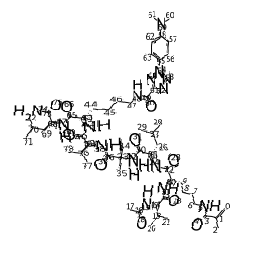 C=C(C)C(=O)NCCCC[C@H](NC(=O)[C@@H](NC(C)=O)C(C)C)C(=O)N[C@@H](CC(C)C)C(=O)NC(C)(C)C(=O)N[C@H](C(=O)N[C@@H](CCCCNC(=O)c1nnn(-c2ccc(N(C)C)cc2)n1)C(=O)N[C@@H](CC(C)C)C(N)=O)C(C)C